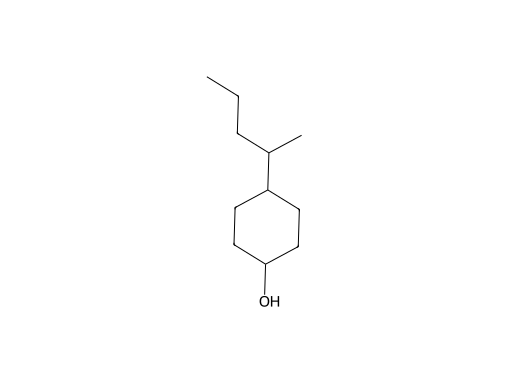 CCCC(C)C1CCC(O)CC1